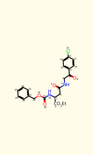 CCOC(=O)[C@H](CC(=O)NCC(=O)c1ccc(Cl)cc1)NC(=O)OCc1ccccc1